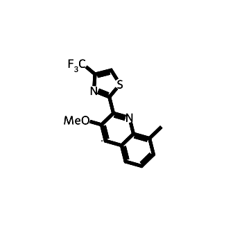 COc1[c]c2cccc(C)c2nc1-c1nc(C(F)(F)F)cs1